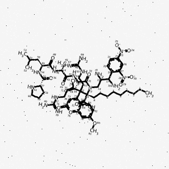 CCCCCCCCC[C@](C(=O)O)(N(CC(N)C(N)c1ccc([N+](=O)[O-])cc1[N+](=O)[O-])C(=O)[C@H](CCCNC(=N)N)NC(=O)[C@H](C)NC(=O)[C@H](CC(C)C)NC(=O)[C@@H]1CCCN1)C(CCNC(=N)N)(C(C)=O)c1cc(=O)oc2cc(OC)ccc12